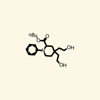 CCCCOC(=O)C1CC(CCO)(CCO)CCN1c1ccccc1